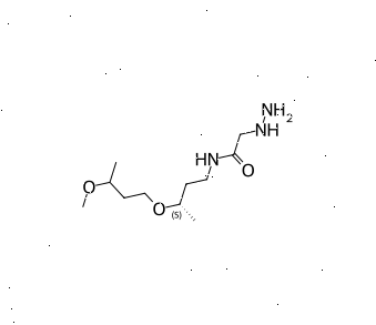 COC(C)CCO[C@@H](C)CCNC(=O)CNN